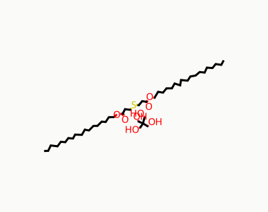 CCCCCCCCCCCCCCCCCCOC(=O)CCSCCC(=O)OCCCCCCCCCCCCCCCCCC.OCC(CO)(CO)CO